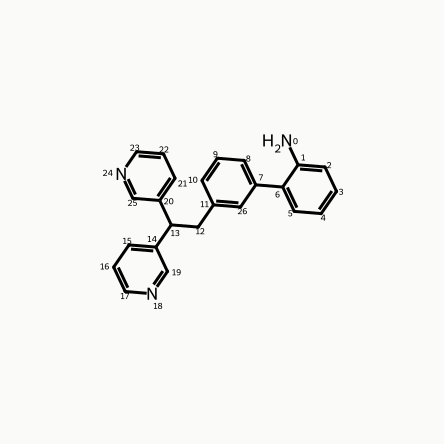 Nc1ccccc1-c1cccc(CC(c2cccnc2)c2cccnc2)c1